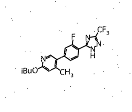 Cc1cc(OCC(C)C)ncc1-c1ccc(-c2nc(C(F)(F)F)n[nH]2)c(F)c1